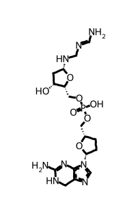 N/C=N/CN[C@H]1C[C@@H](O)[C@@H](COP(=O)(O)OC[C@@H]2CC[C@H](n3cnc4c3N=C(N)NC4)O2)O1